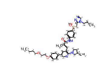 CCCCOCCOc1ccc(-c2cnc(N3CCC(C)C3)c(/C=C(\C)C(=O)Nc3ccc([S+]([O-])Cc4nncn4CCC)cc3)c2)cc1